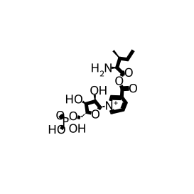 CC[C@H](C)[C@H](N)C(=O)OC(=O)c1ccc[n+]([C@@H]2O[C@H](COP(=O)(O)O)[C@@H](O)[C@H]2O)c1